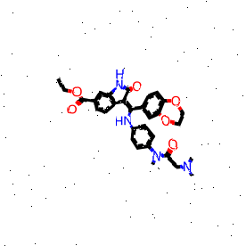 CCOC(=O)c1ccc2c(c1)NC(=O)C2=C(Nc1ccc(N(C)C(=O)CN(C)C)cc1)c1ccc2c(c1)OCCO2